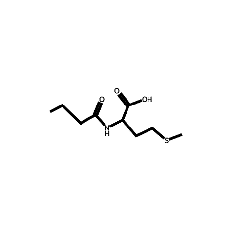 CCCC(=O)NC(CCSC)C(=O)O